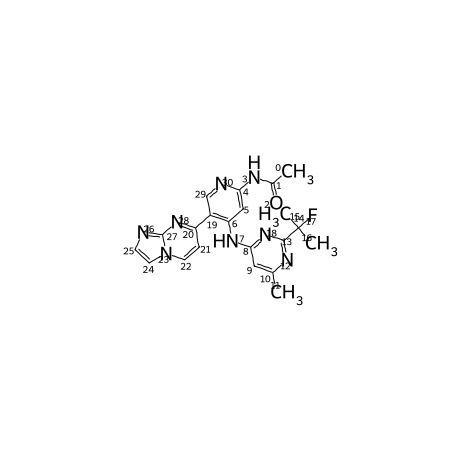 CC(=O)Nc1cc(Nc2cc(C)nc(C(C)(C)F)n2)c(-c2ccn3ccnc3n2)cn1